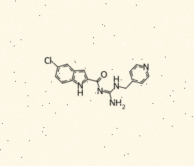 NC(=NC(=O)c1cc2cc(Cl)ccc2[nH]1)NCc1ccncc1